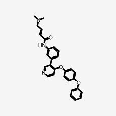 CN(C)CC=CC(=O)Nc1cccc(-c2cnccc2Oc2ccc(Oc3ccccc3)cc2)c1